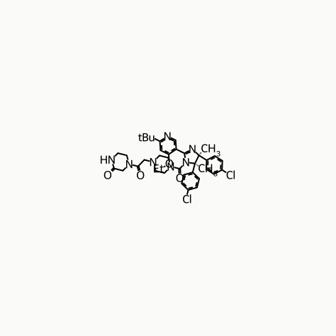 CCOc1cc(C(C)(C)C)ncc1C1=N[C@@](C)(c2ccc(Cl)cc2)[C@@](C)(c2ccc(Cl)cc2)N1C(=O)N1CCN(CC(=O)N2CCNC(=O)C2)CC1